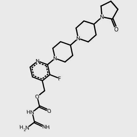 N=C(N)NC(=O)OCc1ccnc(N2CCC(N3CCC(N4CCCC4=O)CC3)CC2)c1F